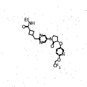 CCNC(=O)C1CC(Cc2ncc(N3CC[C@@H](Oc4ccc(OCC(F)(F)F)nc4)C3=O)cn2)C1